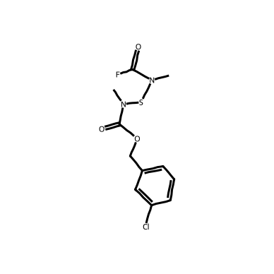 CN(SN(C)C(=O)OCc1cccc(Cl)c1)C(=O)F